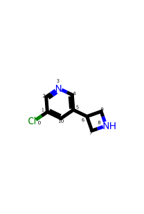 Clc1cncc(C2CNC2)c1